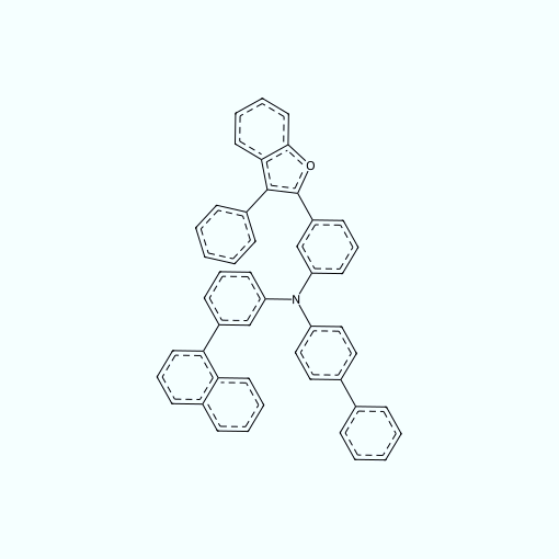 c1ccc(-c2ccc(N(c3cccc(-c4oc5ccccc5c4-c4ccccc4)c3)c3cccc(-c4cccc5ccccc45)c3)cc2)cc1